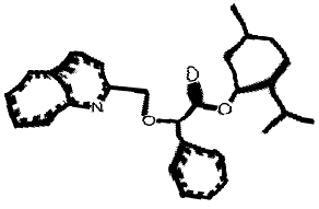 CC1CCC(C(C)C)C(OC(=O)C(OCc2ccc3ccccc3n2)c2ccccc2)C1